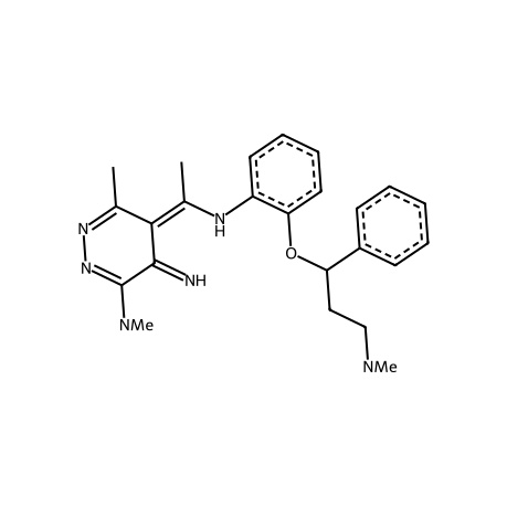 CNCCC(Oc1ccccc1N/C(C)=C1\C(=N)C(NC)=NN=C1C)c1ccccc1